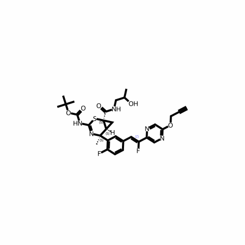 C#CCOc1cnc(/C(F)=C/c2ccc(F)c([C@@]3(C)N=C(NC(=O)OC(C)(C)C)S[C@@]4(C(=O)NCC(C)O)C[C@H]43)c2)cn1